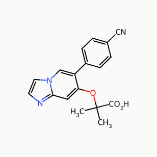 CC(C)(Oc1cc2nccn2cc1-c1ccc(C#N)cc1)C(=O)O